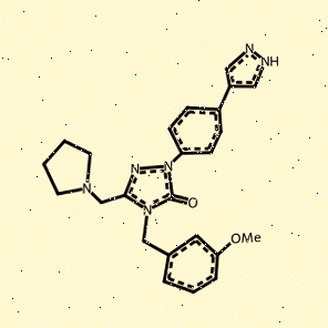 COc1cccc(Cn2c(CN3CCCC3)nn(-c3ccc(-c4cn[nH]c4)cc3)c2=O)c1